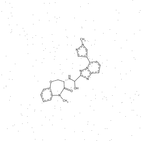 CN1C(=O)[C@@H](NC(O)c2nc3cccc(-c4cnn(C)c4)n3n2)COc2ccccc21